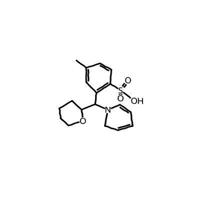 Cc1ccc(S(=O)(=O)O)c(C(C2CCCCO2)N2C=CC=CC2)c1